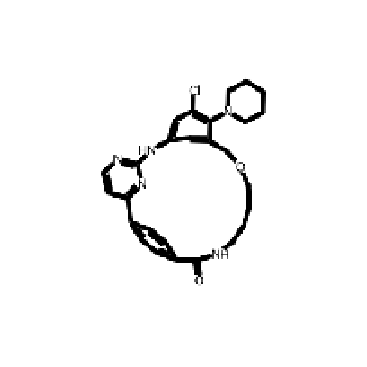 O=C1NCCCCOCc2cc(cc(Cl)c2N2CCCCC2)Nc2nccc(n2)-c2ccc1cc2